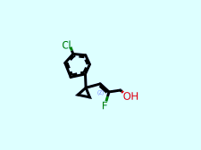 OC/C(F)=C/C1(c2ccc(Cl)cc2)CC1